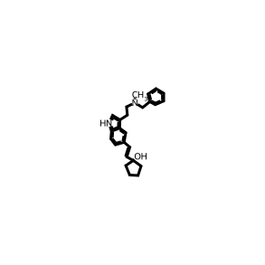 CN(CCc1c[nH]c2ccc(C=CC3(O)CCCC3)cc12)Cc1ccccc1